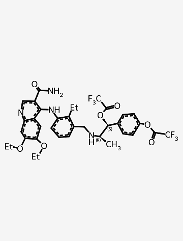 CCOc1cc2ncc(C(N)=O)c(Nc3cccc(CN[C@H](C)[C@@H](OC(=O)C(F)(F)F)c4ccc(OC(=O)C(F)(F)F)cc4)c3CC)c2cc1OCC